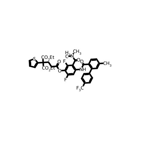 CCOC(=O)C(CCC(=O)Oc1c(F)cc(NC(=O)c2ccc(C)cc2-c2ccc(C(F)(F)F)cc2)c(C(=O)N(C)C)c1F)(C(=O)OCC)c1cccs1